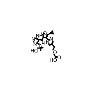 CC(C)(C)n1nc(-c2noc(C3CC3)c2-c2ncc(CCOCC(=O)O)cn2)c2c(N)ncnc21.Cl